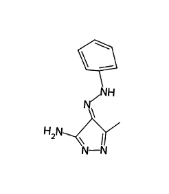 CC1=NN=C(N)/C1=N/Nc1ccccc1